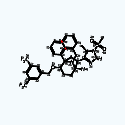 CN1C([C@@H]2C[C@@]3(c4ccccc4)[C@H](OCc4cc(C(F)(F)F)cc(C(F)(F)F)c4)CC[C@@H]2N3Cc2ccccc2)=NNN1S(C)(=O)=O